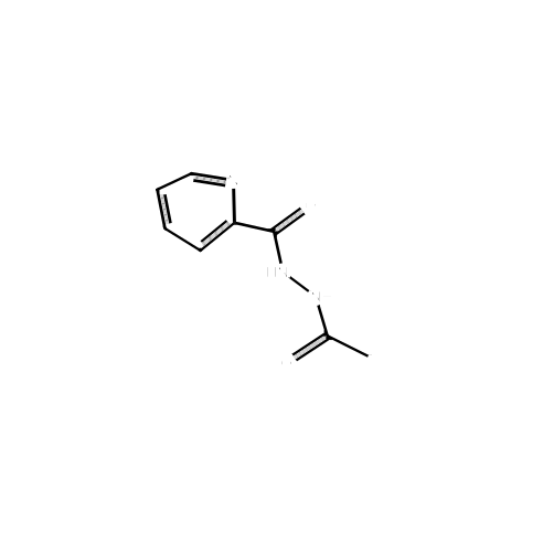 CCC(=O)NNC(=O)c1ccccn1